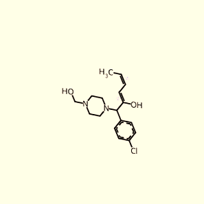 C/C=C\C=C(/O)C(c1ccc(Cl)cc1)N1CCN(CO)CC1